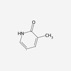 Cc1c[c]c[nH]c1=O